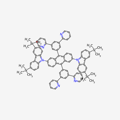 C[Si](C)(C)c1ccc2c(c1)c1cc([Si](C)(C)C)ccc1n2-c1ccc2c(-c3cc(-c4ccccn4)cc(-c4ccccn4)c3)c3cc(-n4c5ccc([Si](C)(C)C)cc5c5cc([Si](C)(C)C)ccc54)ccc3c(-c3cc(-c4ccccn4)cc(-c4ccccn4)c3)c2c1